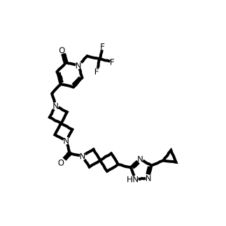 O=C(N1CC2(CC(c3nc(C4CC4)n[nH]3)C2)C1)N1CC2(CN(Cc3ccn(CC(F)(F)F)c(=O)c3)C2)C1